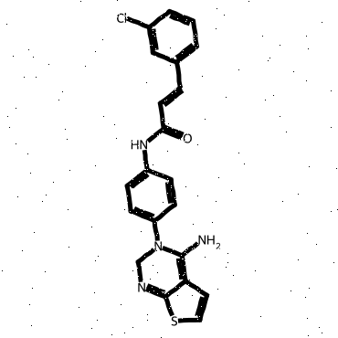 NC1=c2ccsc2=NCN1c1ccc(NC(=O)C=Cc2cccc(Cl)c2)cc1